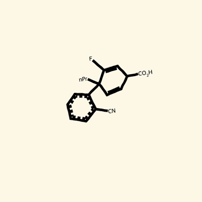 CCCC1(c2ccccc2C#N)C=CC(C(=O)O)C=C1F